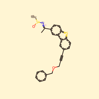 C/C(=N\[S+]([O-])C(C)(C)C)c1ccc2sc3ccc(C#CCOCc4ccccc4)cc3c2c1